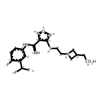 N=C(Nc1ccc(F)c(C(F)F)c1)c1nonc1SCCN1CC(CC(=O)O)C1